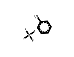 F[B-](F)(F)F.Nc1ccccc1